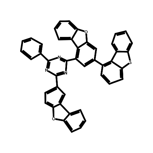 c1ccc(-c2nc(-c3ccc4oc5ccccc5c4c3)nc(-c3cc(-c4cccc5sc6ccccc6c45)cc4oc5ccccc5c34)n2)cc1